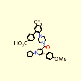 COc1ccc([C@@H]2CN(C3CCCC3)C[C@H]2C(=O)N2CCN(c3ccc(C(F)(F)F)cc3-c3ccc(C(=O)O)cc3)CC2)cc1